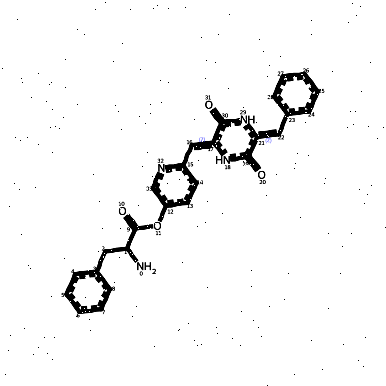 NC(Cc1ccccc1)C(=O)Oc1ccc(/C=c2\[nH]c(=O)/c(=C/c3ccccc3)[nH]c2=O)nc1